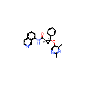 Cc1ncc(O[C@@]2(C3C=CC=CC3)C[C@H]2C(=O)Nc2cccc3ccncc23)c(C)n1